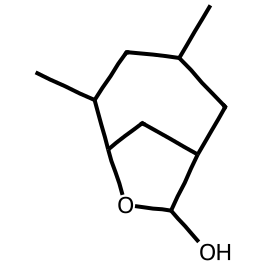 CC1CC(C)C2CC(C1)C(O)O2